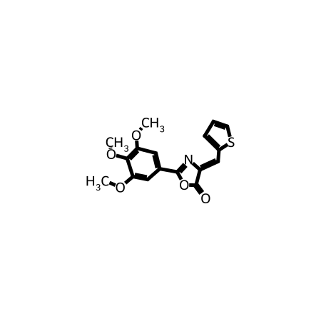 COc1cc(C2=N/C(=C\c3cccs3)C(=O)O2)cc(OC)c1OC